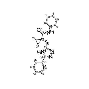 O=C(Nc1ccccc1)C1(Sc2nnc(-c3ccccn3)[nH]2)CC1